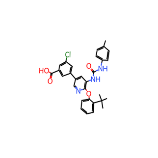 Cc1ccc(NC(=O)Nc2cc(-c3cc(Cl)cc(C(=O)O)c3)cnc2Oc2ccccc2C(C)(C)C)cc1